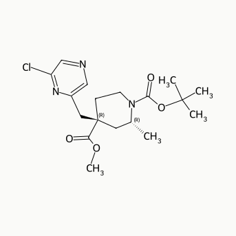 COC(=O)[C@]1(Cc2cncc(Cl)n2)CCN(C(=O)OC(C)(C)C)[C@H](C)C1